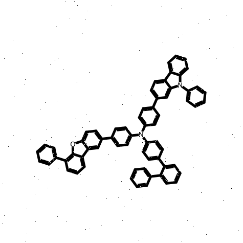 c1ccc(-c2ccccc2-c2ccc(N(c3ccc(-c4ccc5oc6c(-c7ccccc7)cccc6c5c4)cc3)c3ccc(-c4ccc5c6ccccc6n(-c6ccccc6)c5c4)cc3)cc2)cc1